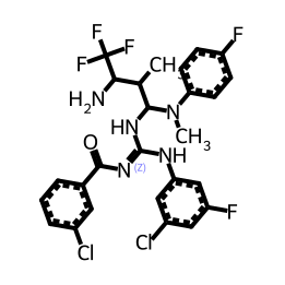 CC(C(N/C(=N\C(=O)c1cccc(Cl)c1)Nc1cc(F)cc(Cl)c1)N(C)c1ccc(F)cc1)C(N)C(F)(F)F